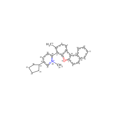 Cc1ccc2c(oc3ccc4ccccc4c32)c1-c1ccc(C2CCCC2)c[n+]1C